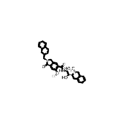 CCOc1cc2c(cc1C(=O)NCC(O)[C@@H]1Cc3ccccc3CN1C(=O)O)CN(Cc1ccc3ccccc3c1)C2=O